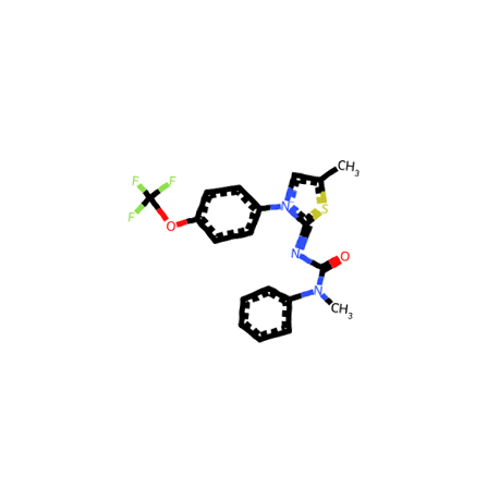 Cc1cn(-c2ccc(OC(F)(F)F)cc2)c(=NC(=O)N(C)c2ccccc2)s1